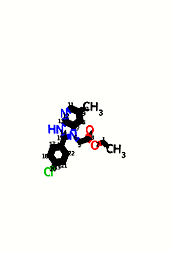 CCOC(=O)CN1c2cc(C)cnc2NC1c1ccc(Cl)cc1